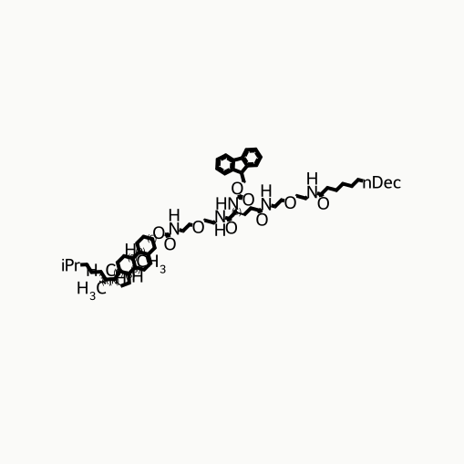 CCCCCCCCCCCCCCCC(=O)NCCOCCNC(=O)CC[C@H](NC(=O)OCC1c2ccccc2-c2ccccc21)C(=O)NCCOCCNC(=O)O[C@H]1CC[C@@]2(C)C(=CC[C@H]3[C@@H]4CC[C@H]([C@H](C)CCCC(C)C)[C@@]4(C)CC[C@@H]32)C1